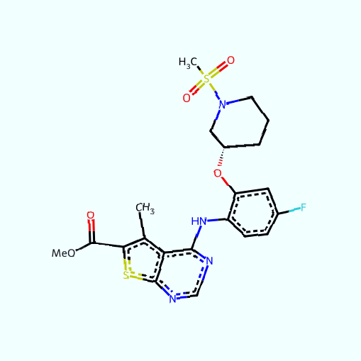 COC(=O)c1sc2ncnc(Nc3ccc(F)cc3O[C@H]3CCCN(S(C)(=O)=O)C3)c2c1C